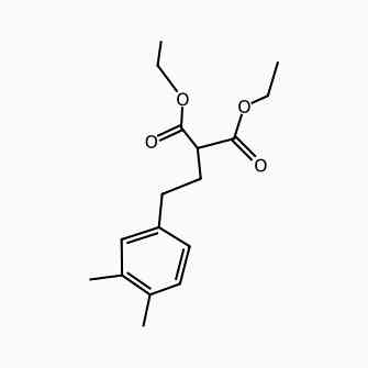 CCOC(=O)C(CCc1ccc(C)c(C)c1)C(=O)OCC